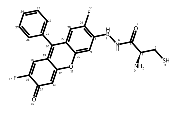 N[C@H](CS)C(=O)NBc1cc2oc3cc(=O)c(F)cc-3c(-c3ccccc3)c2cc1F